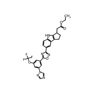 CCOC(=O)CC1CCc2c1[nH]c1ccc(-c3noc(-c4cc(OC(F)(F)F)cc(-n5cncn5)c4)n3)cc21